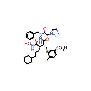 CC(C)C[C@@H](C(=O)NN(Cc1ccccc1)C(=O)Cn1ccnn1)[C@H](CCCC1CCCCC1)C(=O)NO.Cc1ccc(S(=O)(=O)O)cc1